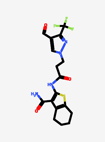 NC(=O)c1c(NC(=O)CCn2cc(C=O)c(C(F)(F)F)n2)sc2c1CCCC2